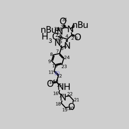 CCCCN1C(=O)C2=NC(c3ccc(/C=C/C(=O)NCN4CCOCC4)cc3)=NC2(C)N(CCCC)C1=O